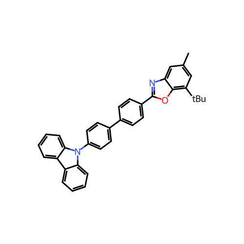 Cc1cc(C(C)(C)C)c2oc(-c3ccc(-c4ccc(-n5c6ccccc6c6ccccc65)cc4)cc3)nc2c1